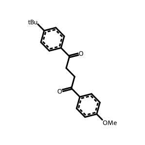 COc1ccc(C(=O)CCC(=O)c2ccc(C(C)(C)C)cc2)cc1